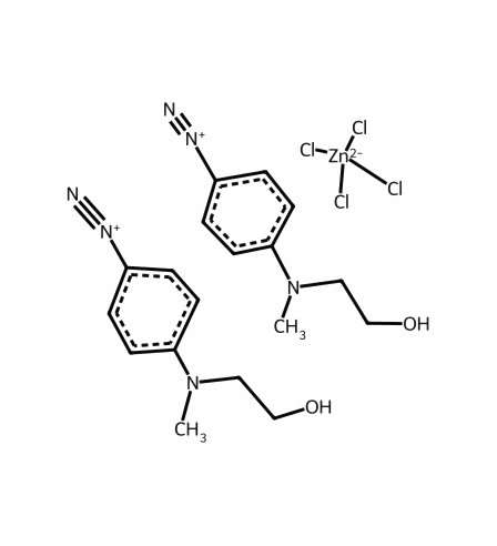 CN(CCO)c1ccc([N+]#N)cc1.CN(CCO)c1ccc([N+]#N)cc1.[Cl][Zn-2]([Cl])([Cl])[Cl]